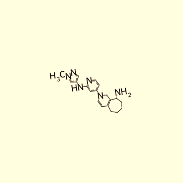 Cn1cc(Nc2cc(N3C=CC4=C(C3)C(N)CCCC4)ccn2)cn1